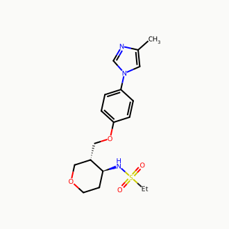 CCS(=O)(=O)N[C@H]1CCOC[C@@H]1COc1ccc(-n2cnc(C)c2)cc1